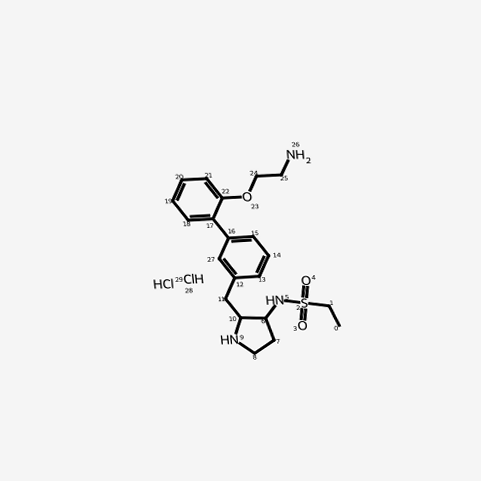 CCS(=O)(=O)NC1CCNC1Cc1cccc(-c2ccccc2OCCN)c1.Cl.Cl